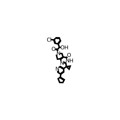 O=C(C(O)c1cccc(Cl)c1)N1CCc2nc(C3(c4cncc(C5=CCCC5)c4)CC3)[nH]c(=O)c2C1